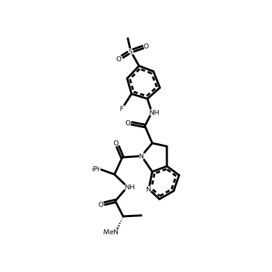 CN[C@@H](C)C(=O)NC(C(=O)N1c2ncccc2CC1C(=O)Nc1ccc(S(C)(=O)=O)cc1F)C(C)C